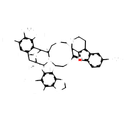 COc1ccc2[nH]c3c(c2c1)CCN[C@]31CSC[C@H]2[C@@H]3c4c(cc(C)c(OC)c4O)C[C@H]([C@H](O)N2[C@H](c2c(C)c(OC(C)=O)c(C)c4c2OCO4)COC1=O)N3C